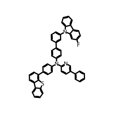 Fc1ccc2c3ccccc3n(-c3cccc(-c4ccc(N(c5ccc(-c6cccc7c6sc6ccccc67)cc5)c5ccc(-c6ccccc6)cn5)cc4)c3)c2c1